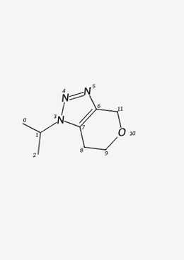 CC(C)n1nnc2c1CCOC2